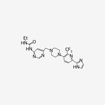 CCNC(=O)Nc1cc(CN2CCN(c3ccc(-c4ncc[nH]4)nc3C(F)(F)F)CC2)ncn1